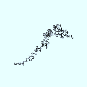 CC(=O)NCCCCC(=O)CC(=O)SCCNC(=O)CCNC(=O)[C@H](O)C(C)(C)COP(=O)(O)OP(=O)(O)OC[C@H]1O[C@@H](n2cnc3c(N)ncnc32)[C@H](O)[C@@H]1OP(=O)(O)O